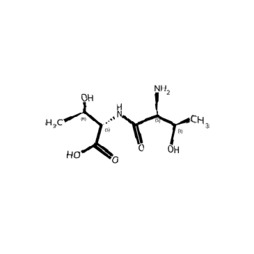 C[C@@H](O)[C@H](N)C(=O)N[C@H](C(=O)O)[C@@H](C)O